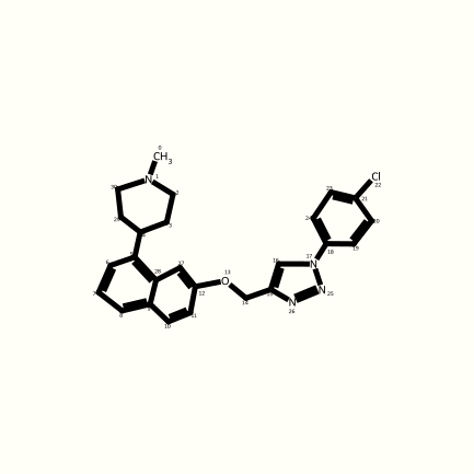 CN1CCC(c2cccc3ccc(OCc4cn(-c5ccc(Cl)cc5)nn4)cc23)CC1